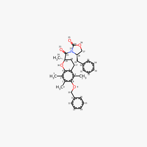 Cc1c(C)c2c(c(C)c1OCc1ccccc1)CC[C@](C)(C(=O)N1C(=O)OC[C@H]1Cc1ccccc1)O2